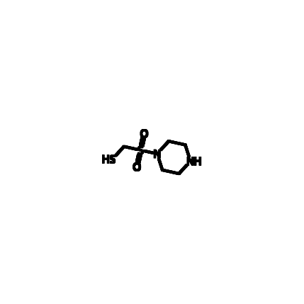 O=S(=O)(CS)N1CCNCC1